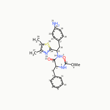 COC(=O)NC(Cc1ccccc1)C(=O)NC(Cc1ccc(N)cc1)c1nc(C)c(C)s1